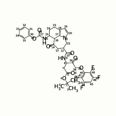 CC(C)(C)OC(=O)CC(NC(=O)C1CC(=O)C2c3c(ccn3C1)CCC2NC(=O)Oc1ccccc1)C(=O)COc1c(F)c(F)cc(F)c1F